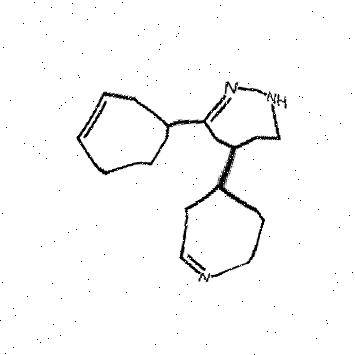 C1=CCC(C2=NNCC2C2CC=NCC2)CC1